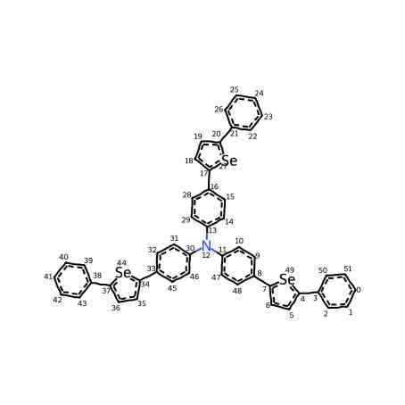 c1ccc(-c2ccc(-c3ccc(N(c4ccc(-c5ccc(-c6ccccc6)[se]5)cc4)c4ccc(-c5ccc(-c6ccccc6)[se]5)cc4)cc3)[se]2)cc1